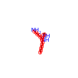 COCCOCCOCCOCCOCCOCCC(=O)NC(CCCCNC(=O)OC(C)(C)C)C(=O)OCCOCCOCCOCCOCCOCCN